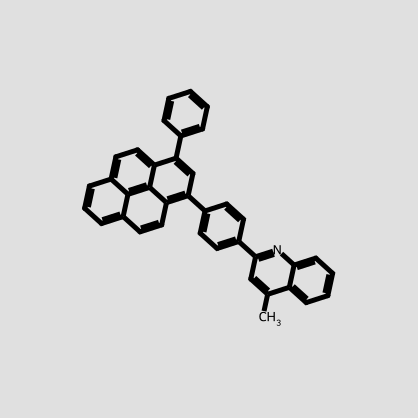 Cc1cc(-c2ccc(-c3cc(-c4ccccc4)c4ccc5cccc6ccc3c4c56)cc2)nc2ccccc12